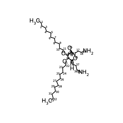 CCCCCCCCCCCCOC(C(=O)NCCN)C(OCCCCCCCCCCCC)C(=O)NCCN